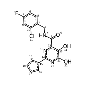 O=C(NCc1ccc(F)cc1Cl)c1nc(-c2cccs2)nc(O)c1O